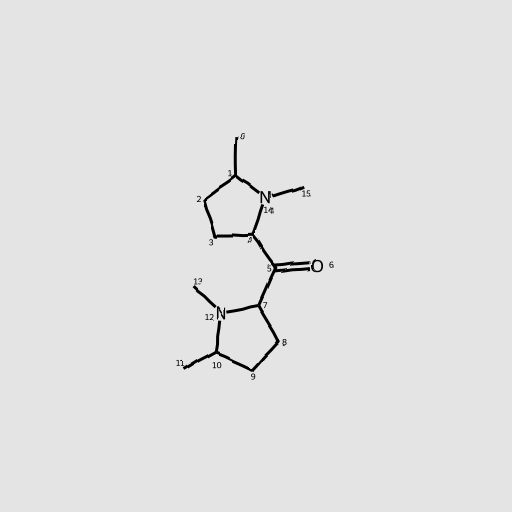 CC1CCC(C(=O)C2CCC(C)N2C)N1C